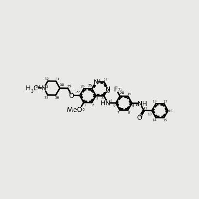 COc1cc2c(Nc3ccc(NC(=O)c4ccccc4)cc3F)ncnc2cc1OCC1CCN(C)CC1